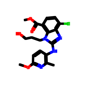 COC(=O)c1ccc(Cl)c2nc(Nc3ccc(OC)nc3C)n(CCCO)c12